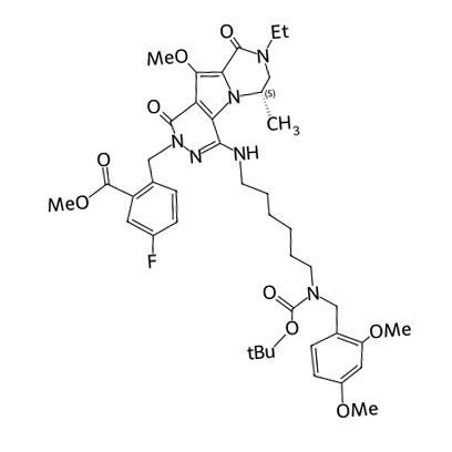 CCN1C[C@H](C)n2c(c(OC)c3c(=O)n(Cc4ccc(F)cc4C(=O)OC)nc(NCCCCCCN(Cc4ccc(OC)cc4OC)C(=O)OC(C)(C)C)c32)C1=O